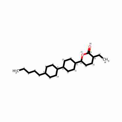 CCCCCC1CCC(C2CCC(C3CCC(CC)C(=O)O3)CC2)CC1